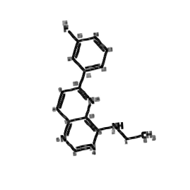 CCNc1ncnc2ccc(-c3cccc(F)c3)nc12